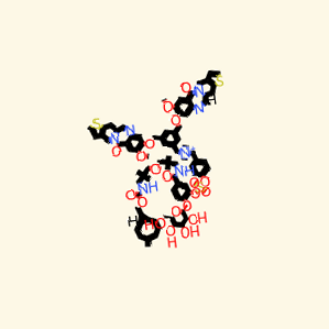 COc1cc2c(cc1OCc1cc(COc3cc4c(cc3OC)C(=O)N3Cc5ccsc5C[C@H]3C=N4)cc(C[N+](C)(C)Cc3ccc(OS(=O)(=O)Oc4cc(C(=O)NCC(C)(C)COCC(C)(C)CNC(=O)OCC5C6CC/C=C(/C)CC[C@@H]65)ccc4O[C@@H]4O[C@H](CO)[C@H](O)[C@H](O)[C@H]4O)cc3)c1)N=CC1Cc3sccc3CN1C2=O